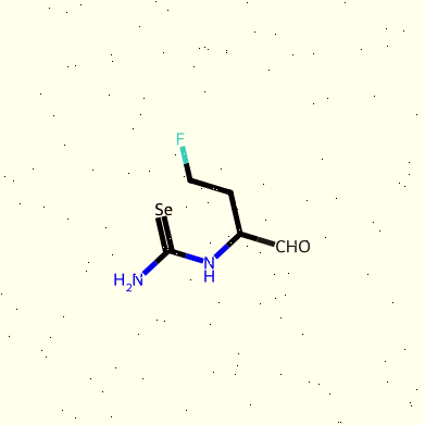 NC(=[Se])NC(C=O)CCF